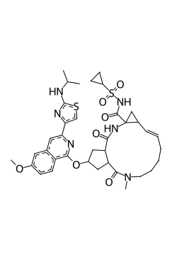 COc1ccc2c(OC3CC4C(=O)NC5(C(=O)NS(=O)(=O)C6CC6)CC5/C=C/CCCCN(C)C(=O)C4C3)nc(-c3csc(NC(C)C)n3)cc2c1